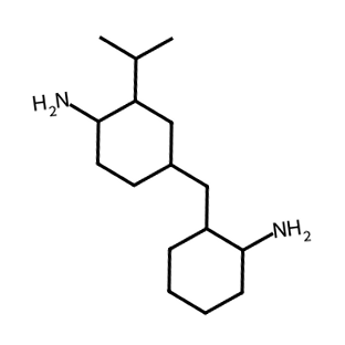 CC(C)C1CC(CC2CCCCC2N)CCC1N